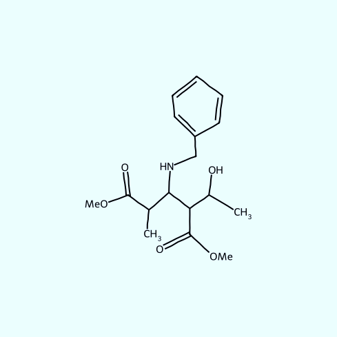 COC(=O)C(C)C(NCc1ccccc1)C(C(=O)OC)C(C)O